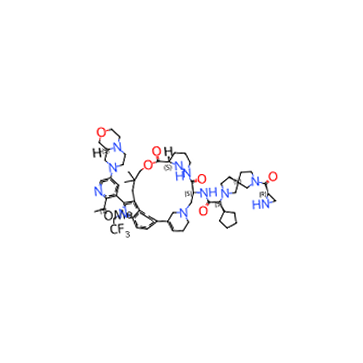 CO[C@@H](C)c1ncc(N2CCN3CCOC[C@@H]3C2)cc1-c1c2c3cc(ccc3n1CC(F)(F)F)C1=CCCN(C1)C[C@H](NC(=O)[C@H](C1CCCC1)N1CC[C@]3(CCN(C(=O)[C@H]4CN4)C3)C1)C(=O)N1CCC[C@H](N1)C(=O)OCC(C)(C)C2